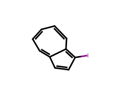 Ic1ccc2cccccc1-2